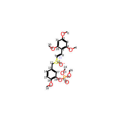 COc1cc(OC)c(/C=C/[S+]([O-])Cc2ccc(OC)c(OP(=O)(OC)OC)c2)c(OC)c1